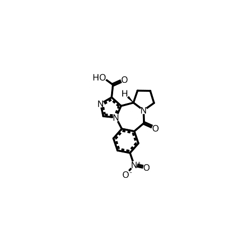 O=C(O)c1ncn2c1[C@@H]1CCCN1C(=O)c1cc([N+](=O)[O-])ccc1-2